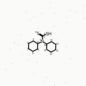 S=C(S)N(C1CCCCC1)C1CCCCC1